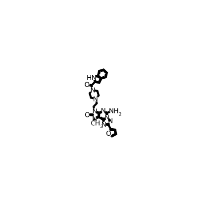 Cn1c(=O)n(CCN2CCN(C(=O)c3cc4ccccc4[nH]3)CC2)c2nc(N)n3nc(-c4ccco4)nc3c21